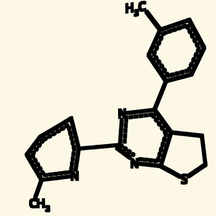 Cc1cccc(-c2nc(-c3cccc(C)n3)nc3c2CCS3)c1